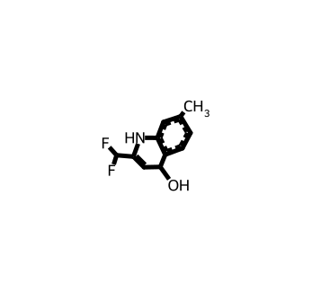 Cc1ccc2c(c1)NC(C(F)F)=CC2O